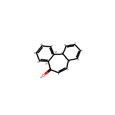 O=C1C=CC2C=CC=CC2c2ccccc21